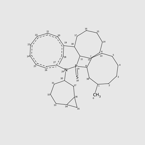 CC1CCCCCCC(P2(=S)C3CCCCCCC3c3cccccccc(c3)N2C2CCCC3CC3C2)C1